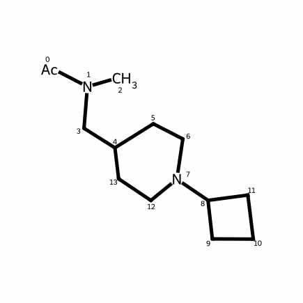 CC(=O)N(C)CC1CCN(C2CCC2)CC1